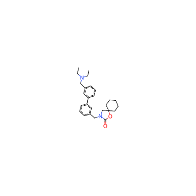 CCN(CC)Cc1cccc(-c2cccc(CN3CC4(CCCCC4)OC3=O)c2)c1